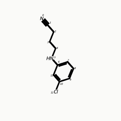 N#CCCCNc1cccc(Cl)c1